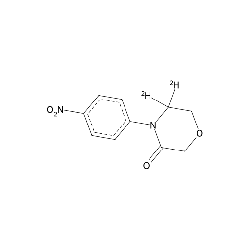 [2H]C1([2H])COCC(=O)N1c1ccc([N+](=O)[O-])cc1